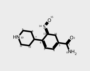 NC(=O)C1=CC=C(C2CCNCC2)C(=S=O)C1